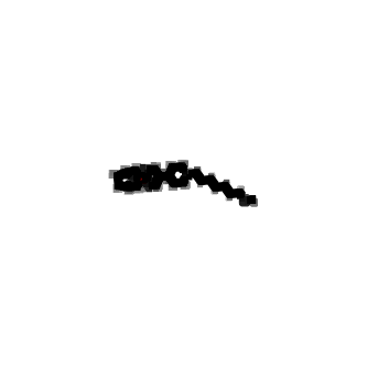 COCCCCCCCN1CCC(c2cnc(N3C4CCC3CN(C)C4)nc2)CC1